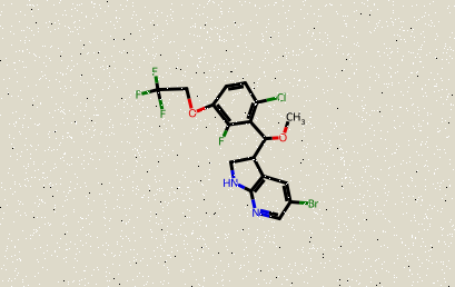 COC(c1c(Cl)ccc(OCC(F)(F)F)c1F)C1CNc2ncc(Br)cc21